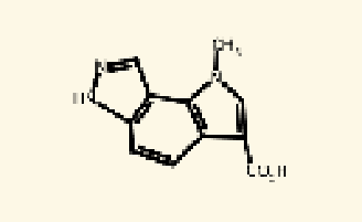 Cn1cc(C(=O)O)c2ccc3[nH]ncc3c21